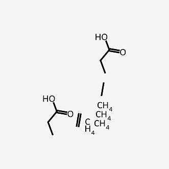 C.C.C.C.C=C.CC.CCC(=O)O.CCC(=O)O